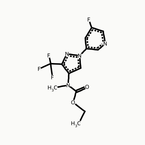 CCOC(=O)N(C)c1cn(-c2cncc(F)c2)nc1C(F)(F)F